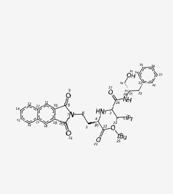 CC(C)CC(N[C@H](CCN1C(=O)c2cc3ccccc3cc2C1=O)C(=O)OC(C)(C)C)C(=O)N[C@H](CO)Cc1ccccc1